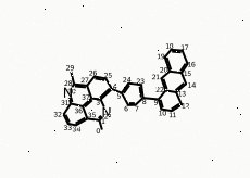 Cc1nc2c(-c3ccc(-c4cccc5cc6ccccc6cc45)cc3)ccc3c(C)nc4cccc1c4c32